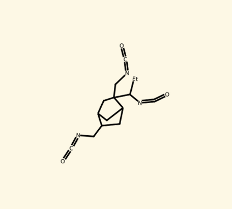 CCC(N=C=O)C1(CN=C=O)CC2CC1CC2CN=C=O